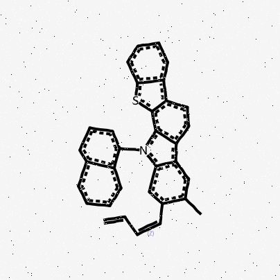 C=C/C=C\c1cc2c(cc1C)c1ccc3c4ccccc4sc3c1n2-c1cccc2ccccc12